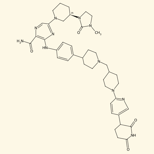 CN1CCN([C@@H]2CCCN(c3cnc(C(N)=O)c(Nc4ccc(C5CCN(CC6CCN(c7ccc(C8CCC(=O)NC8=O)cn7)CC6)CC5)cc4)n3)C2)C1=O